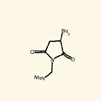 BC1CC(=O)N(CNC)C1=O